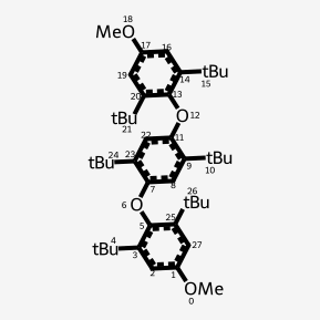 COc1cc(C(C)(C)C)c(Oc2cc(C(C)(C)C)c(Oc3c(C(C)(C)C)cc(OC)cc3C(C)(C)C)cc2C(C)(C)C)c(C(C)(C)C)c1